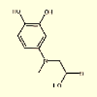 CCC(O)CN(C)c1ccc(O)c(O)c1